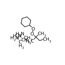 CCC(C)(C)OOC1CCCCC1.CN.CN.CN